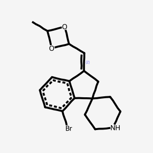 CC1OC(/C=C2/CC3(CCNCC3)c3c(Br)cccc32)O1